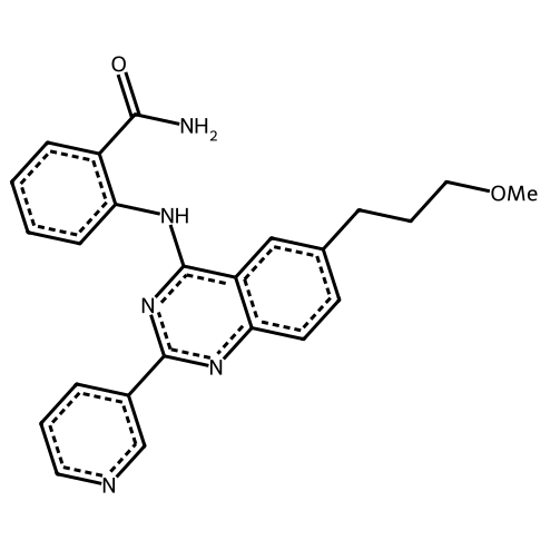 COCCCc1ccc2nc(-c3cccnc3)nc(Nc3ccccc3C(N)=O)c2c1